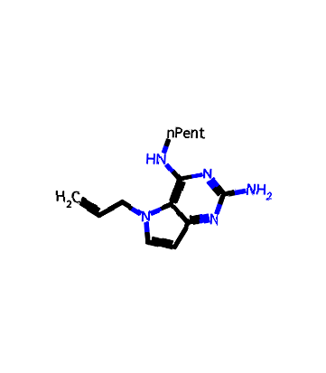 C=CCn1ccc2nc(N)nc(NCCCCC)c21